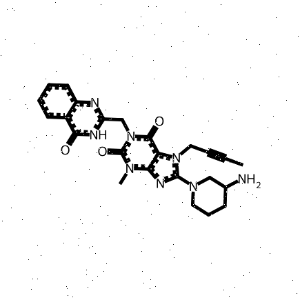 CC#CCn1c(N2CCCC(N)C2)nc2c1c(=O)n(Cc1nc3ccccc3c(=O)[nH]1)c(=O)n2C